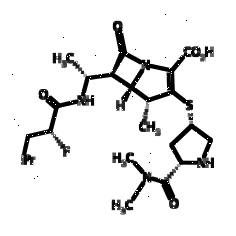 CC(C)C[C@@H](F)C(=O)N[C@H](C)[C@H]1C(=O)N2C(C(=O)O)=C(S[C@@H]3CN[C@H](C(=O)N(C)C)C3)[C@H](C)[C@H]12